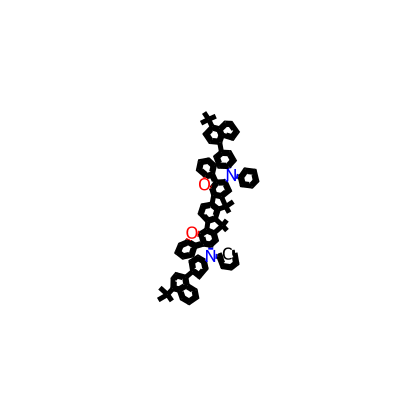 CC(C)(C)c1ccc(-c2ccc(N(c3ccccc3)c3cc4c(c5oc6ccccc6c35)-c3ccc5c(c3C4(C)C)C(C)(C)c3cc(N(c4ccccc4)c4ccc(-c6ccc(C(C)(C)C)c7ccccc67)cc4)c4c(oc6ccccc64)c3-5)cc2)c2ccccc12